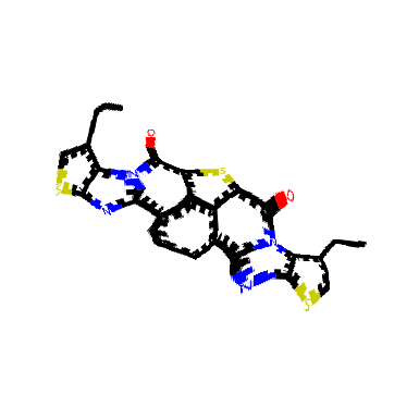 CCc1csc2nc3c4ccc5c6c(sc(c(=O)n3c12)c46)c(=O)n1c5nc2scc(CC)c21